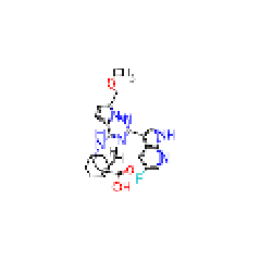 COCc1ccc2c(N[C@@H]3C4CCC(CC4)[C@H]3C(=O)O)nc(-c3c[nH]c4ncc(F)cc34)nn12